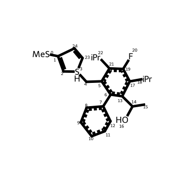 CSC1=C[SH](Cc2c(-c3ccccc3)c(C(C)O)c(C(C)C)c(F)c2C(C)C)C=C1